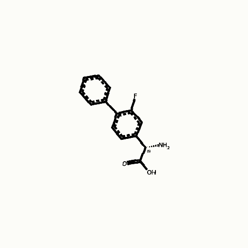 N[C@H](C(=O)O)c1ccc(-c2ccccc2)c(F)c1